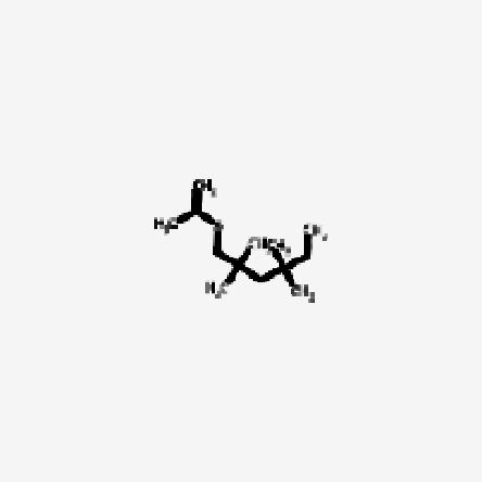 C=C(C)SCC(C)(C)CC(C)(C)CC